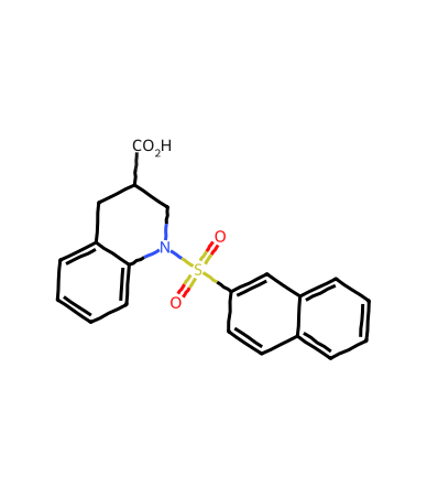 O=C(O)C1Cc2ccccc2N(S(=O)(=O)c2ccc3ccccc3c2)C1